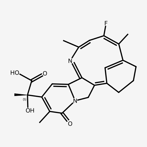 Cc1cc(F)c(C)c2cc(c3c(n1)-c1cc([C@](C)(O)C(=O)O)c(C)c(=O)n1C3)CCC2